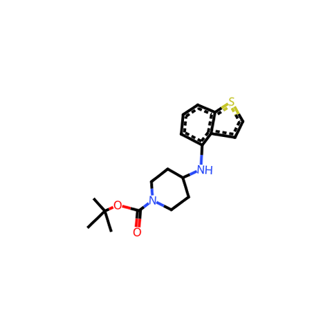 CC(C)(C)OC(=O)N1CCC(Nc2cccc3sccc23)CC1